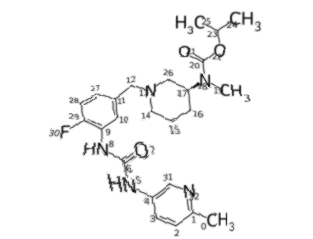 Cc1ccc(NC(=O)Nc2cc(CN3CCC[C@H](N(C)C(=O)OC(C)C)C3)ccc2F)cn1